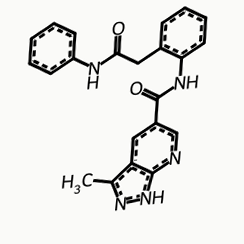 Cc1n[nH]c2ncc(C(=O)Nc3ccccc3CC(=O)Nc3ccccc3)cc12